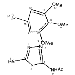 CC(=O)Nc1nnc(S)s1.COc1cc(C)cc(OC)c1OC